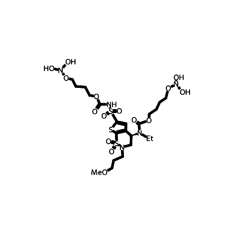 CCN(C(=O)OCCCCON(O)O)[C@H]1CN(CCCOC)S(=O)(=O)c2sc(S(=O)(=O)NC(=O)OCCCCON(O)O)cc21